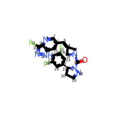 O=C(N1CC(=Cc2cnc3c(F)n[nH]c3c2)C1)N1N=CC[C@H]1c1cc(F)cc(F)c1